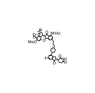 CCOc1cc(C(CS(C)(=O)=O)N2C(=O)c3cc(CCCN4CCC(c5cc(F)cc6c5CN(C5CCC(=O)NC5=O)C6=O)CC4)cc(NC(C)=O)c3C2=O)ccc1OC